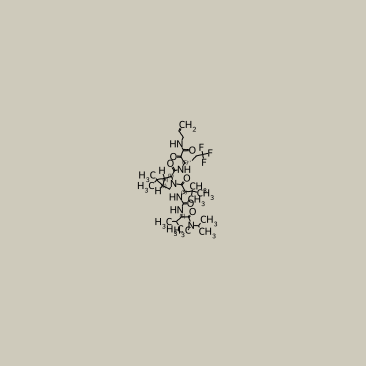 C=CCNC(=O)C(=O)[C@H](CCC(F)(F)F)NC(=O)[C@@H]1[C@@H]2[C@H](CN1C(=O)[C@@H](NC(=O)N[C@H](C(=O)N(C)C(C)C)C(C)C)C(C)(C)C)C2(C)C